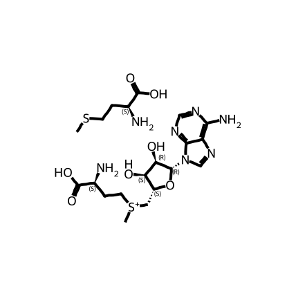 CSCC[C@H](N)C(=O)O.C[S+](CC[C@H](N)C(=O)O)C[C@H]1O[C@@H](n2cnc3c(N)ncnc32)[C@H](O)[C@@H]1O